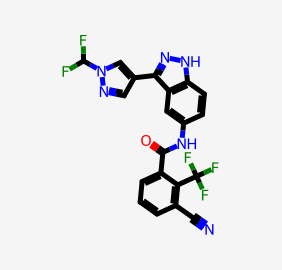 N#Cc1cccc(C(=O)Nc2ccc3[nH]nc(-c4cnn(C(F)F)c4)c3c2)c1C(F)(F)F